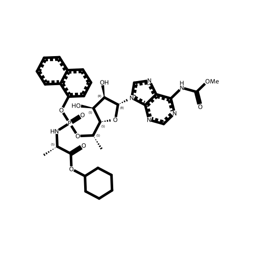 COC(=O)Nc1ncnc2c1ncn2[C@@H]1O[C@H]([C@H](C)OP(=O)(N[C@@H](C)C(=O)OC2CCCCC2)Oc2cccc3ccccc23)[C@@H](O)[C@H]1O